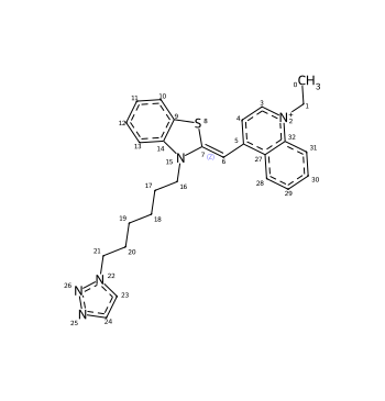 CC[n+]1ccc(/C=C2\Sc3ccccc3N2CCCCCCn2ccnn2)c2ccccc21